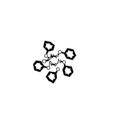 ClP1(Oc2ccccc2)=NP(Oc2ccccc2)N(Oc2ccccc2)P(Oc2ccccc2)N1Oc1ccccc1